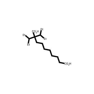 CCC(CC)C(CCCCCCCC(=O)O)(C(=O)O)C(CC)CC